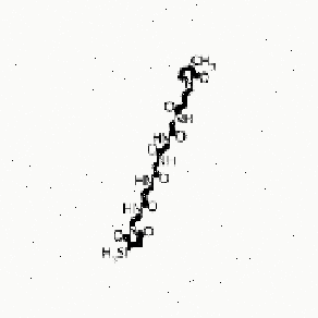 CC1CCN(CCCC(=O)NCC(=O)NCC(=O)NCC(=O)NCCC(=O)NCCN2C(=O)CC([SiH3])C2=O)C1=O